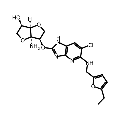 CCc1ccc(CNc2nc3nc(O[C@@H]4CO[C@@H]5[C@H](O)CO[C@@]54N)[nH]c3cc2Cl)o1